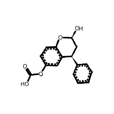 O=C(O)Oc1ccc2c(c1)[C@H](c1ccccc1)C[C@H](O)O2